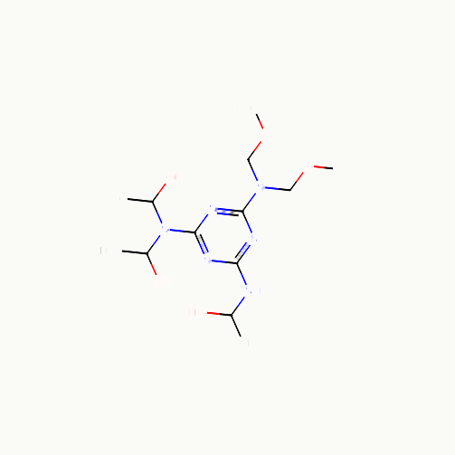 COCN(COC)c1nc(NC(C)O)nc(N(C(C)O)C(C)O)n1